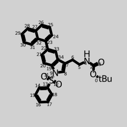 CC(C)(C)OC(=O)NCCc1cn(S(=O)(=O)c2ccccc2)c2ccc(-c3cccc4ccccc34)cc12